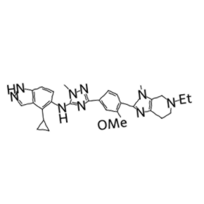 CCN1CCc2nc(-c3ccc(-c4nc(Nc5ccc6[nH]ncc6c5C5CC5)n(C)n4)cc3OC)n(C)c2C1